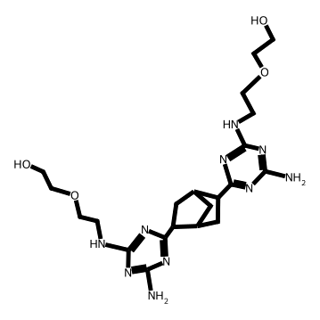 Nc1nc(NCCOCCO)nc(C2CC3CC2CC3c2nc(N)nc(NCCOCCO)n2)n1